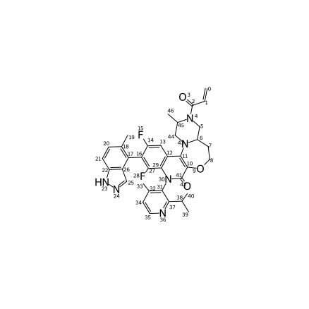 C=CC(=O)N1CC2CCOc3c(c4cc(F)c(-c5c(C)ccc6[nH]ncc56)c(F)c4n(-c4c(C)ccnc4C(C)C)c3=O)N2CC1C